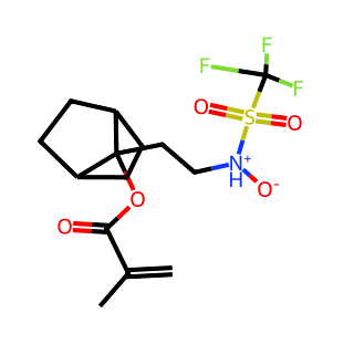 C=C(C)C(=O)OC1(CC[NH+]([O-])S(=O)(=O)C(F)(F)F)C2CCC1CC2